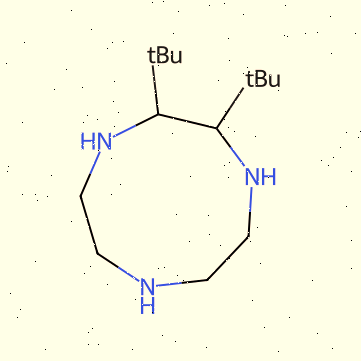 CC(C)(C)C1NCCNCCNC1C(C)(C)C